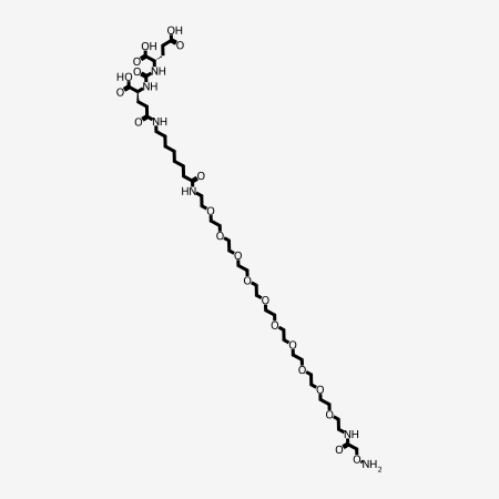 NOCC(=O)NCCOCCOCCOCCOCCOCCOCCOCCOCCOCCOCCNC(=O)CCCCCCCNC(=O)CC[C@H](NC(=O)N[C@@H](CCC(=O)O)C(=O)O)C(=O)O